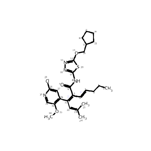 CCC/C=C/C(C(=O)Nc1nnc(OCC2CCCC2)s1)=C(\C=C(C)C)c1cc(Cl)ncc1OC